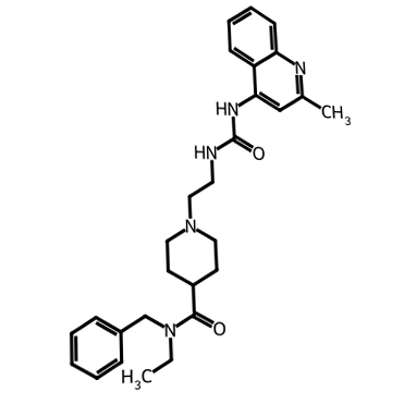 CCN(Cc1ccccc1)C(=O)C1CCN(CCNC(=O)Nc2cc(C)nc3ccccc23)CC1